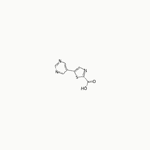 O=C(O)c1ncc(-c2cncnc2)s1